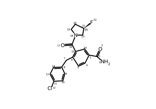 NC(=O)c1ccc(Cc2ccc(Cl)cc2)c(C(=O)N2CC[C@@H](F)C2)c1